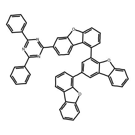 c1ccc(-c2nc(-c3ccccc3)nc(-c3ccc4c(c3)oc3cccc(-c5cc(-c6cccc7c6oc6ccccc67)cc6c5oc5ccccc56)c34)n2)cc1